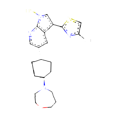 Cc1csc(-c2cn(S)c3ncc([C@H]4CC[C@H](N5CCCOCC5)CC4)cc23)n1